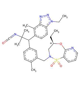 CC[C@@H]1CN(Cc2cc(C(c3ccc4c(nnn4CC)c3C)C(C)(C)N=C=O)ccc2C)S(=O)(=O)c2cccnc2O1